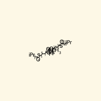 CC(C)CC(=O)SCCCCOP(=O)(OCCCCSC(=O)CC(C)C)C(C)(F)F